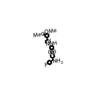 COc1ccc(-c2ccnc(Nc3ccc(S(=O)(=O)N4CCC(C(N)c5ccc(F)cc5)CC4)cc3)n2)cc1OC